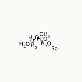 O.O.O.O.O.O.[Sc]